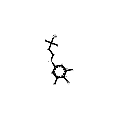 Cc1cc(OCCC(C)(C)O)cc(C)c1Br